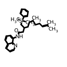 CC(C)=CCC[C@@H](C)CCC(CC(=O)Nc1cccc2cccnc12)C[Si](C)(C)c1ccccc1